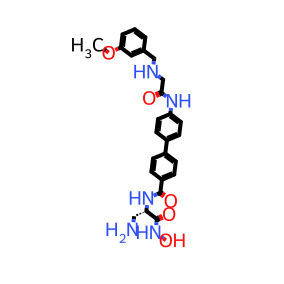 COc1cccc(CNCC(=O)Nc2ccc(-c3ccc(C(=O)N[C@@H](CN)C(=O)NO)cc3)cc2)c1